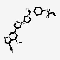 C=CC(=O)N[C@H]1CC[C@H](C(=O)N2CC[C@@H](n3cc(-c4cc(OC)c5c(C#N)cnn5c4)cn3)C2)CC1